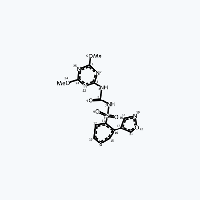 COc1nc(NC(=O)NS(=O)(=O)c2ccccc2-c2cnoc2)nc(OC)n1